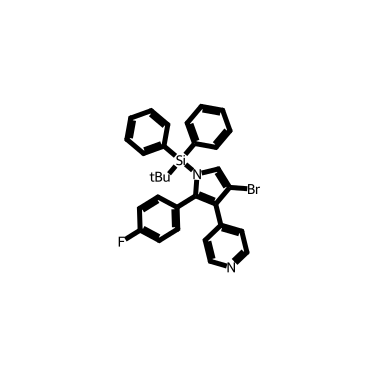 CC(C)(C)[Si](c1ccccc1)(c1ccccc1)n1cc(Br)c(-c2ccncc2)c1-c1ccc(F)cc1